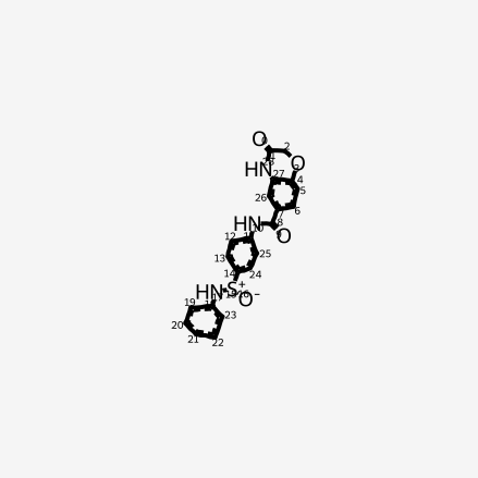 O=C1COc2ccc(C(=O)Nc3ccc([S+]([O-])Nc4ccccc4)cc3)cc2N1